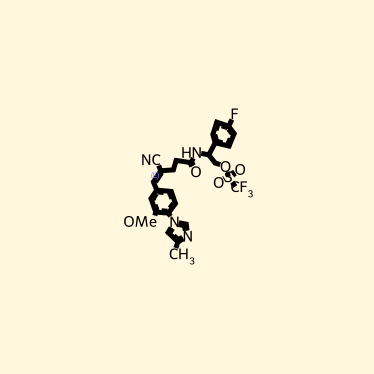 COc1cc(/C=C(/C#N)CCC(=O)NC(COS(=O)(=O)C(F)(F)F)c2ccc(F)cc2)ccc1-n1cnc(C)c1